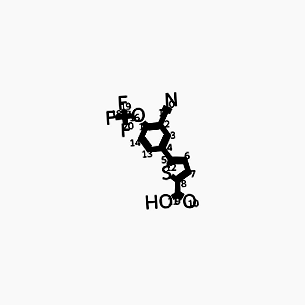 N#Cc1cc(-c2ccc(C(=O)O)s2)ccc1OC(F)(F)F